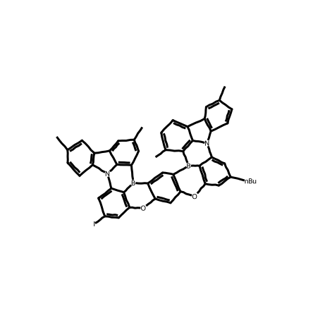 CCCCc1cc2c3c(c1)-n1c4ccc(C)cc4c4ccc(C)c(c41)B3c1cc3c(cc1O2)Oc1cc(I)cc2c1B3c1cc(C)cc3c4cc(C)ccc4n-2c13